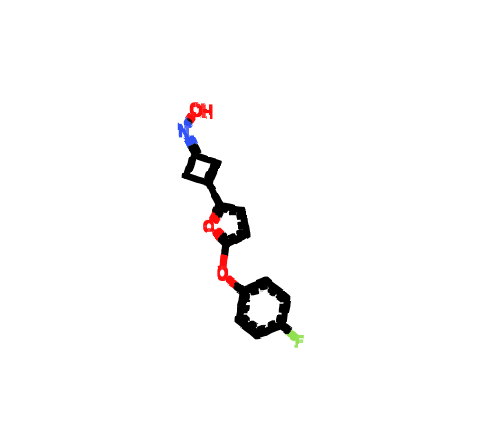 ON=C1C=C(c2ccc(Oc3ccc(F)cc3)o2)C1